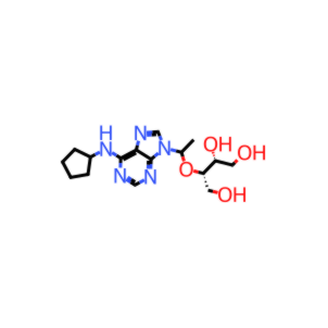 CC(O[C@@H](CO)[C@H](O)CO)n1cnc2c(NC3CCCC3)ncnc21